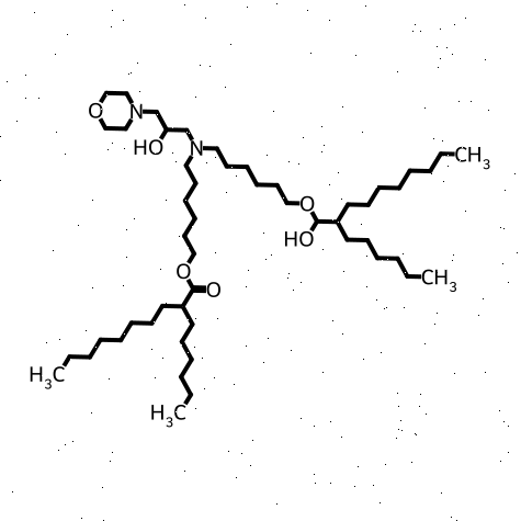 CCCCCCCCC(CCCCCC)C(=O)OCCCCCCN(CCCCCCOC(O)C(CCCCCC)CCCCCCCC)CC(O)CN1CCOCC1